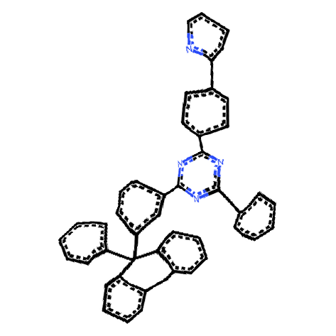 c1ccc(-c2nc(-c3ccc(-c4ccccn4)cc3)nc(-c3cccc(C4(c5ccccc5)c5ccccc5-c5ccccc54)c3)n2)cc1